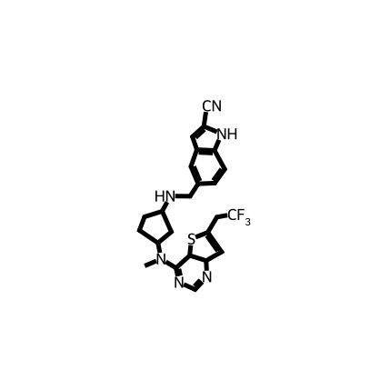 CN(C1=NC=NC2C=C(CC(F)(F)F)SC12)C1CCC(NCc2ccc3[nH]c(C#N)cc3c2)C1